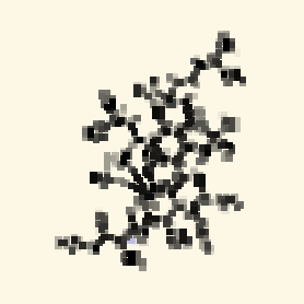 COC(=O)/C(C)=C\CC12OC(C)(C)C(C)C13Oc1c(CC=C(C)C)c4c(c(OP(=O)(O)O)c1C1=C3C(C(C#N)=C(N)O1)C(C)C2=O)C=CC(C)(CCC=C(C)C)O4